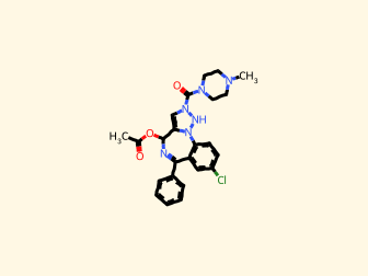 CC(=O)OC1N=C(c2ccccc2)c2cc(Cl)ccc2N2NN(C(=O)N3CCN(C)CC3)C=C12